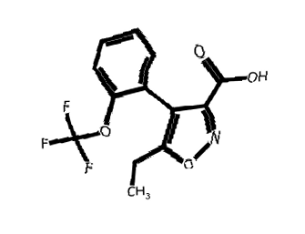 CCc1onc(C(=O)O)c1-c1ccccc1OC(F)(F)F